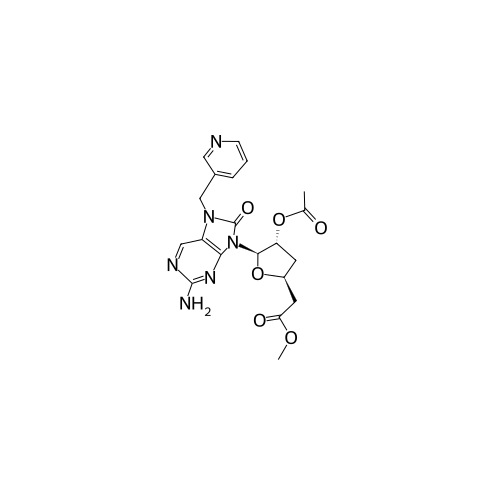 COC(=O)C[C@@H]1C[C@@H](OC(C)=O)[C@H](n2c(=O)n(Cc3cccnc3)c3cnc(N)nc32)O1